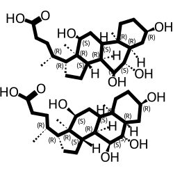 C[C@H](CCC(=O)O)[C@H]1CC[C@H]2[C@@H]3[C@H](O)[C@@H](O)[C@@H]4C[C@H](O)CC[C@]4(C)[C@H]3C[C@H](O)[C@]12C.C[C@H](CCC(=O)O)[C@H]1CC[C@H]2[C@@H]3[C@H](O)[C@@H](O)[C@@H]4C[C@H](O)CC[C@]4(C)[C@H]3C[C@H](O)[C@]12C